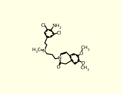 COc1cc2c(cc1OC)CC(=O)N(CCCN(C)CCc1cc(Cl)c(N)c(Cl)c1)C=C2